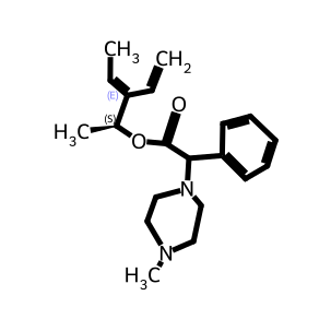 C=C/C(=C\C)[C@H](C)OC(=O)C(c1ccccc1)N1CCN(C)CC1